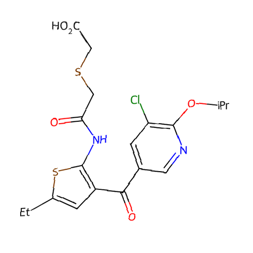 CCc1cc(C(=O)c2cnc(OC(C)C)c(Cl)c2)c(NC(=O)CSCC(=O)O)s1